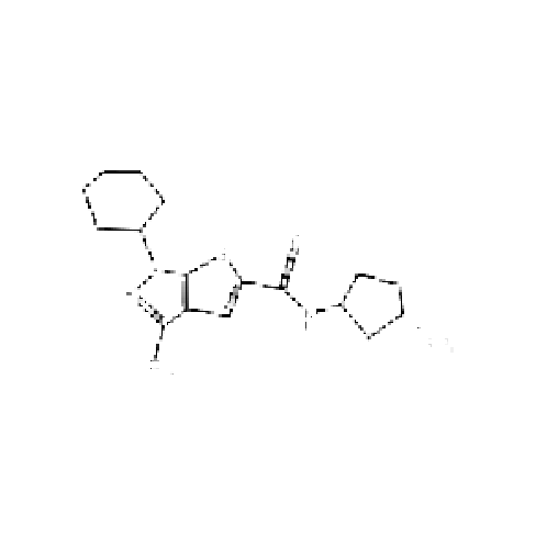 Cc1nn(C2CCCCC2)c2sc(C(=O)N[C@H]3CC[C@H](C(=O)O)C3)cc12